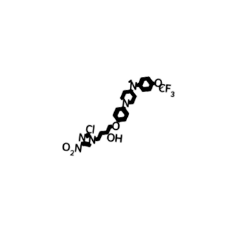 CN(c1ccc(OC(F)(F)F)cc1)C1CCN(c2ccc(OC[C@@H](O)CCn3cc([N+](=O)[O-])nc3Cl)cc2)CC1